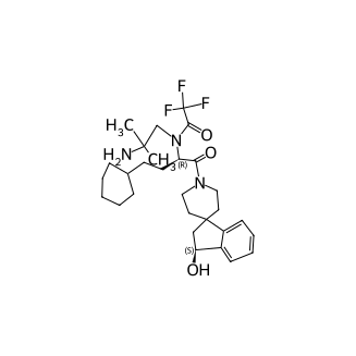 CC(C)(N)CN(C(=O)C(F)(F)F)[C@H](CCC1CCCCC1)C(=O)N1CCC2(CC1)C[C@H](O)c1ccccc12